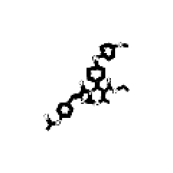 CCOC(=O)C1=C(C)N=c2sc(=Cc3ccc(OC(C)=O)cc3)c(=O)n2C1c1ccc(Oc2ccc(OC)cc2)cc1